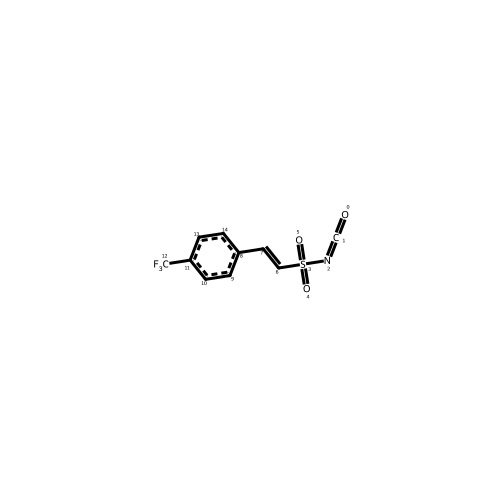 O=C=NS(=O)(=O)C=Cc1ccc(C(F)(F)F)cc1